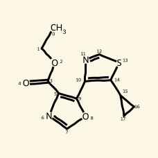 CCOC(=O)c1ncoc1-c1ncsc1C1CC1